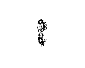 CC(C(=O)NCCN1CCN(c2cccc(C(F)(F)F)c2)CC1)c1ccccc1